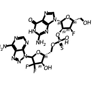 Nc1nc2c(ncn2[C@@H]2O[C@H](CO)[C@@H](F)[C@H]2OP(O)(=S)OC[C@H]2OC(n3nnc4c(N)ncnc43)C(F)(F)[C@@H]2O)c(=O)[nH]1